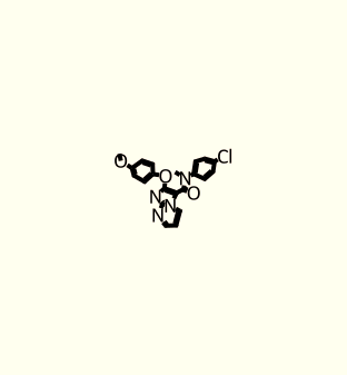 COc1ccc(Oc2nc3ncccn3c2C(=O)N(C)c2ccc(Cl)cc2)cc1